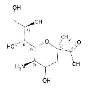 C[C@]1(C(=O)O)CC(O)[C@@H](N)[C@H]([C@H](O)[C@H](O)CO)O1